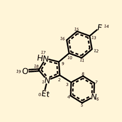 CCn1c(-c2ccncc2)c(-c2ccc(F)cc2)[nH]c1=O